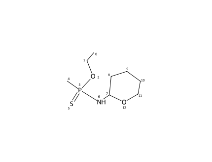 CCOP(C)(=S)NC1CCCCO1